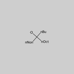 CCCCCCCCCC([O])(CCCC)CCCCCCCC